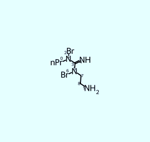 CCCN(Br)C(=N)N(Br)CCN